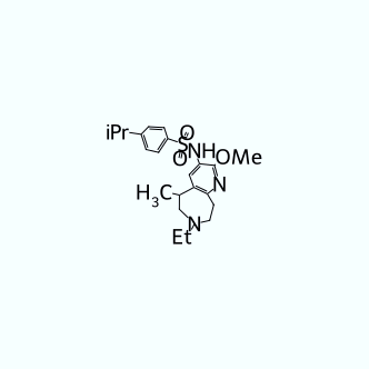 CCN1CCc2nc(OC)c(NS(=O)(=O)c3ccc(C(C)C)cc3)cc2C(C)C1